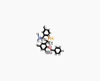 CCC(CC)(Pc1ccc(C)cc1CN(C)C)c1cc(C)cc(C(C)(C)C)c1OCc1ccccc1